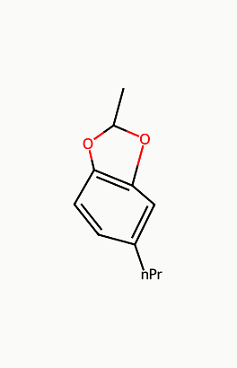 CCCc1ccc2c(c1)OC(C)O2